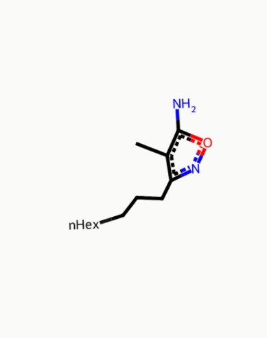 CCCCCCCCCc1noc(N)c1C